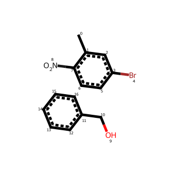 Cc1cc(Br)ccc1[N+](=O)[O-].OCc1ccccc1